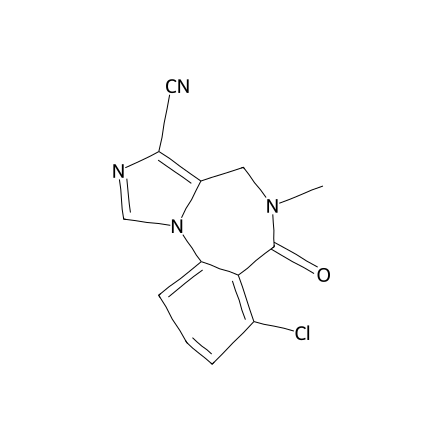 CN1Cc2c(C#N)ncn2-c2cccc(Cl)c2C1=O